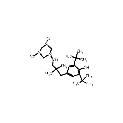 CC(C)(CNN1CN(Cl)CN(Cl)C1)Cc1cc(C(C)(C)C)c(O)c(C(C)(C)C)c1